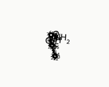 NS(=O)(=O)c1ccccc1NC(=O)c1ccc(C#Cc2ccccc2)c(F)c1